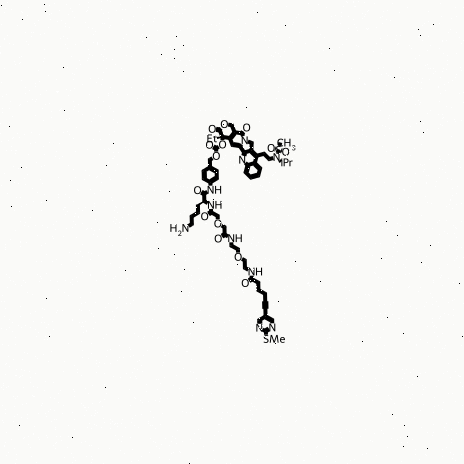 CC[C@@]1(OC(=O)OCc2ccc(NC(=O)[C@H](CCCCN)NC(=O)COCC(=O)NCCOCCNC(=O)CCCC#Cc3cnc(SC)nc3)cc2)C(=O)OCc2c1cc1n(c2=O)Cc2c-1nc1ccccc1c2CCN(C(C)C)S(C)(=O)=O